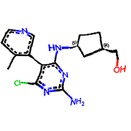 Cc1ccncc1-c1c(Cl)nc(N)nc1N[C@H]1CC[C@@H](CO)C1